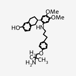 COc1cc(NCCCc2ccc(OCC(C)(C)N)cc2)c([C@@H]2CCc3cc(O)ccc3C2)cc1OC